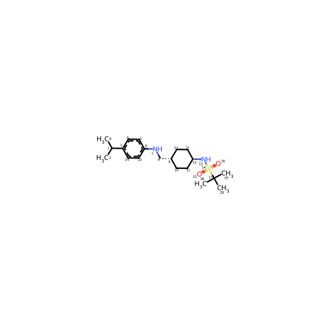 CC(C)c1ccc(NC[C@H]2CC[C@H](NS(=O)(=O)C(C)(C)C)CC2)cc1